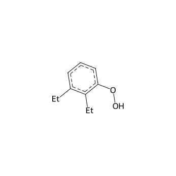 CCc1cccc(OO)c1CC